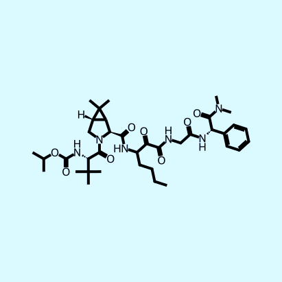 CCCCC(NC(=O)[C@@H]1C2[C@H](CN1C(=O)[C@@H](NC(=O)OC(C)C)C(C)(C)C)C2(C)C)C(=O)C(=O)NCC(=O)N[C@H](C(=O)N(C)C)c1ccccc1